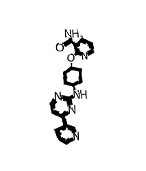 NC(=O)c1cccnc1O[C@H]1CC[C@H](Nc2nccc(-c3cccnc3)n2)CC1